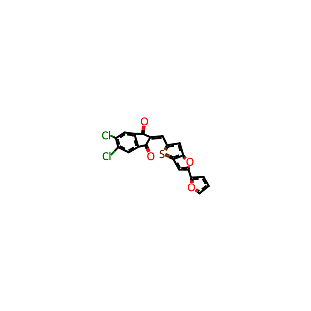 O=C1C(=Cc2cc3oc(-c4ccco4)cc3s2)C(=O)c2cc(Cl)c(Cl)cc21